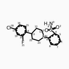 NS(=O)(=O)c1ccccc1N1CCC(c2ccc(Cl)cc2F)CC1